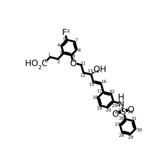 O=C(O)CCc1cc(F)ccc1OCC[C@@H](O)/C=C/c1cccc(NS(=O)(=O)c2ccccc2)c1